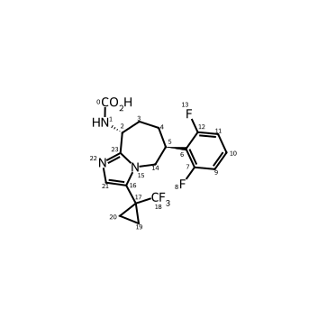 O=C(O)N[C@@H]1CC[C@@H](c2c(F)cccc2F)Cn2c(C3(C(F)(F)F)CC3)cnc21